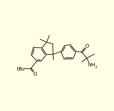 CC(C)(C)C(=O)c1ccc2c(c1)C(C)(c1ccc(C(=O)C(C)(C)N)cc1)CC2(C)C